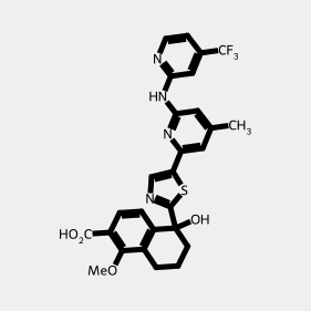 COc1c(C(=O)O)ccc2c1CCCC2(O)c1ncc(-c2cc(C)cc(Nc3cc(C(F)(F)F)ccn3)n2)s1